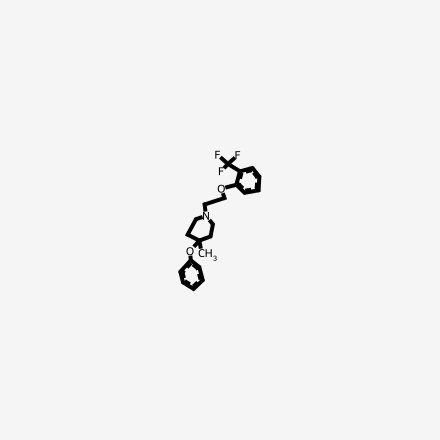 CC1(Oc2ccccc2)CCN(CCOc2ccccc2C(F)(F)F)CC1